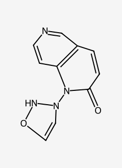 O=c1ccc2cnccc2n1N1C=CON1